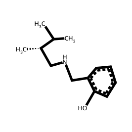 CC(C)[C@@H](C)CNCc1ccccc1O